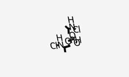 CC(CO[PH](=O)OCC(C)NCl)NCl